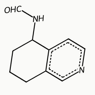 O=CNC1CCCc2cnccc21